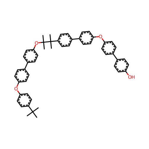 CC(C)(C)c1ccc(Oc2ccc(-c3ccc(OC(C)(C)C(C)(C)c4ccc(-c5ccc(Oc6ccc(-c7ccc(O)cc7)cc6)cc5)cc4)cc3)cc2)cc1